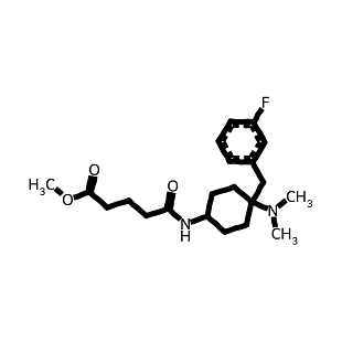 COC(=O)CCCC(=O)NC1CCC(Cc2cccc(F)c2)(N(C)C)CC1